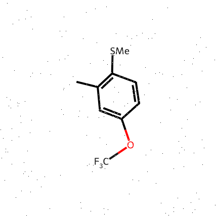 CSc1ccc(OC(F)(F)F)cc1C